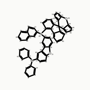 c1ccc(N(c2ccccc2)c2ccc3oc4ccc(N(c5ccc6ccccc6c5)c5cccc6c5-c5ccccc5C65c6ccccc6Oc6ccccc65)cc4c3c2)cc1